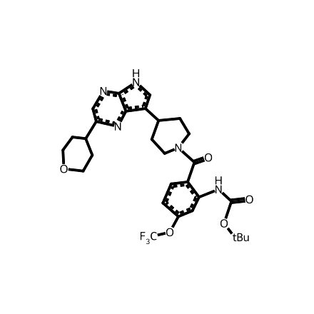 CC(C)(C)OC(=O)Nc1cc(OC(F)(F)F)ccc1C(=O)N1CCC(c2c[nH]c3ncc(C4CCOCC4)nc23)CC1